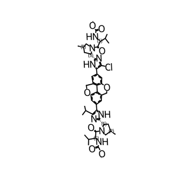 COC(=O)N[C@H](C(=O)N1C[C@H](C)C[C@H]1c1nc(Cl)c(-c2cc3c4c(c2)OCc2cc(-c5[nH]c([C@@H]6C[C@@H](C)CN6C(=O)[C@@H](NC(=O)OC)C(C)C)nc5C(C)C)cc(c2-4)OC3)[nH]1)C(C)C